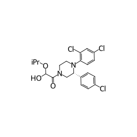 CC(C)OC(O)C(=O)N1CCN(c2ccc(Cl)cc2Cl)[C@H](c2ccc(Cl)cc2)C1